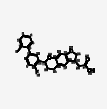 Cc1ccccc1-c1ccc(F)c(C2CCc3cc4c(cc3O2)OC[C@H]4CC(=O)O)c1